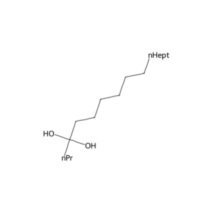 CCCCCCCCCCCCCC(O)(O)CCC